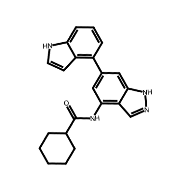 O=C(Nc1cc(-c2cccc3[nH]ccc23)cc2[nH]ncc12)C1CCCCC1